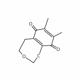 CC1=C(C)C(=O)C2=C(CCOCC2)C1=O